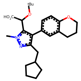 Cn1nc(CC2CCCC2)c(-c2ccc3c(c2)CCCO3)c1C(OC(C)(C)C)C(=O)O